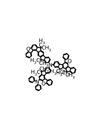 CC1(C)c2cc(N(c3ccc4c(c3)C(C)(C)c3cc(N(c5ccccc5)c5ccccc5)c5oc6ccccc6c5c3-4)c3ccc4c(c3)C(C)(C)c3c5c(c6oc7ccccc7c6c3-4)-c3ccccc3C5(C)C)ccc2-c2cc3c(cc21)-c1c(ccc2oc4ccccc4c12)C3(C)C